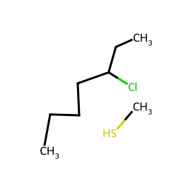 CCCCC(Cl)CC.CS